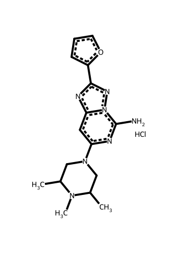 CC1CN(c2cc3nc(-c4ccco4)nn3c(N)n2)CC(C)N1C.Cl